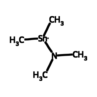 C[N](C)[Sn]([CH3])[CH3]